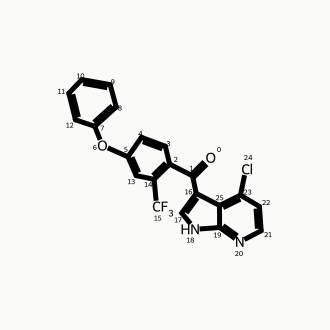 O=C(c1ccc(Oc2ccccc2)cc1C(F)(F)F)c1c[nH]c2nccc(Cl)c12